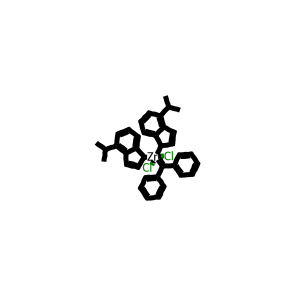 CC(C)c1cccc2c1C=C[CH]2[Zr]([Cl])([Cl])(=[C](c1ccccc1)c1ccccc1)[CH]1C=Cc2c(C(C)C)cccc21